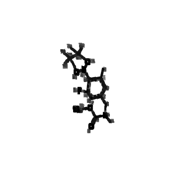 Cc1cc(CN(C)C(=O)OC(C)(C)C)cc(F)c1B1OC(C)(C)C(C)(C)O1